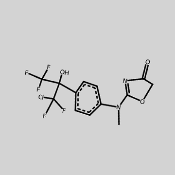 CN(C1=NC(=O)CO1)c1ccc(C(O)(C(F)(F)F)C(F)(F)Cl)cc1